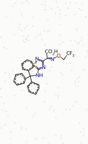 O=C(O)C(=NOCC(F)(F)F)c1nsc(NC(c2ccccc2)(c2ccccc2)c2ccccc2)n1